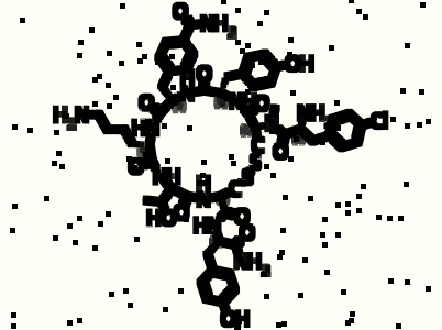 CC(O)C1NC(=O)[C@H](CCCCN)NC(=O)[C@@H](Cc2ccc(C(N)=O)cc2)NC(=O)[C@H](Cc2ccc(O)cc2)NC(=O)[C@H](N(C)C(=O)[C@@H](N)Cc2ccc(Cl)cc2)CSSC[C@@H](C(=O)N[C@H](Cc2ccc(O)cc2)C(N)=O)NC1=O